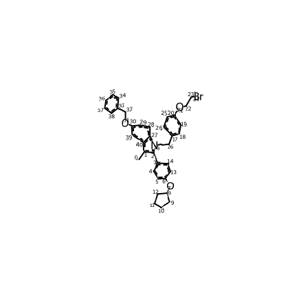 Cc1c(-c2ccc(OC3CCCC3)cc2)n(Cc2ccc(OCCBr)cc2)c2ccc(OCc3ccccc3)cc12